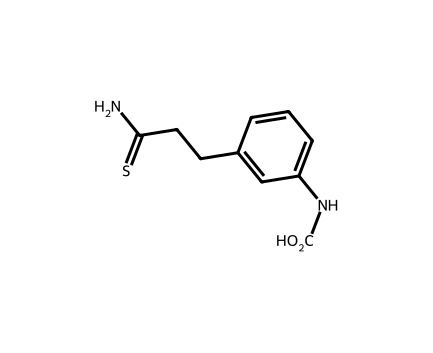 NC(=S)CCc1cccc(NC(=O)O)c1